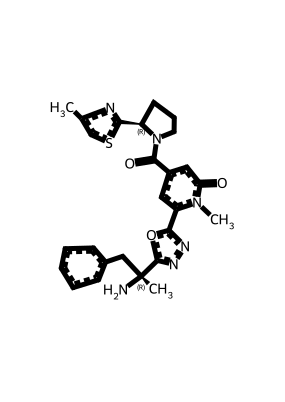 Cc1csc([C@H]2CCCN2C(=O)c2cc(-c3nnc([C@](C)(N)Cc4ccccc4)o3)n(C)c(=O)c2)n1